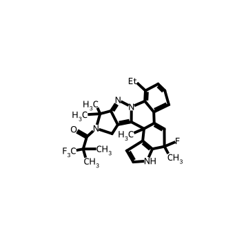 CCc1cccc2c1-n1nc3c(c1C1(C)C2=CC(C)(F)c2[nH]ccc21)CN(C(=O)C(C)(C)C(F)(F)F)C3(C)C